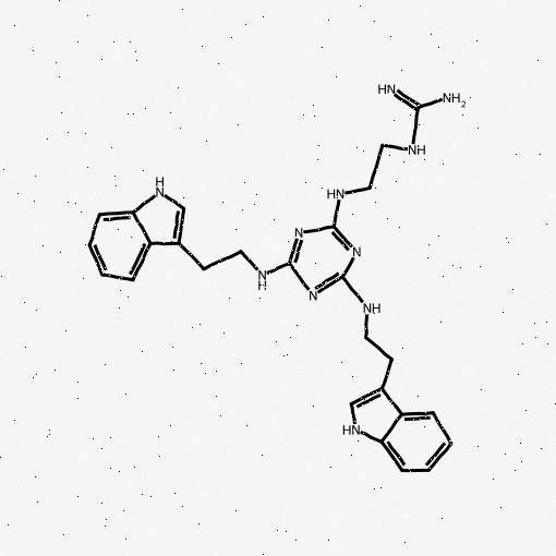 N=C(N)NCCNc1nc(NCCc2c[nH]c3ccccc23)nc(NCCc2c[nH]c3ccccc23)n1